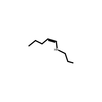 CCC/C=[C]\NCCC